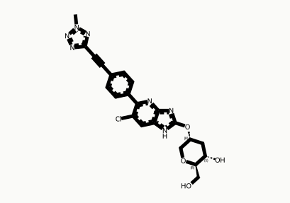 Cn1nnc(C#Cc2ccc(-c3nc4nc(O[C@H]5CO[C@H](CO)[C@@H](O)C5)[nH]c4cc3Cl)cc2)n1